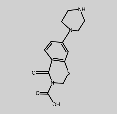 O=C(O)N1CSc2cc(N3CCNCC3)ccc2C1=O